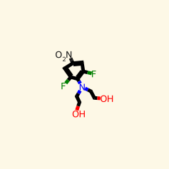 O=[N+]([O-])c1cc(F)c(N(CCO)CCO)c(F)c1